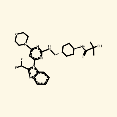 CC(C)(O)C(=O)N[C@H]1CC[C@H](CNc2nc(N3CCOCC3)cc(-n3c(C(F)F)nc4ccccc43)n2)CC1